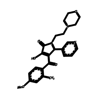 COc1ccc(C(=O)C2=C(O)C(=O)N(CCN3CCOCC3)C2c2cccnc2)c(C)c1